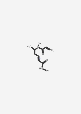 C=CC(=O)N(C)C(C)C/C=C/C(=O)NC(C)C